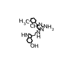 Cc1cccc(-c2cc(NCCc3c[nH]c4ccc(O)cc34)nc(N)n2)c1C